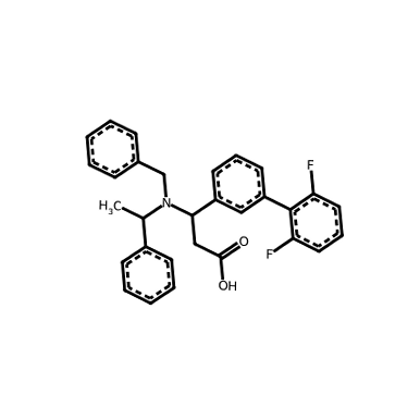 CC(c1ccccc1)N(Cc1ccccc1)C(CC(=O)O)c1cccc(-c2c(F)cccc2F)c1